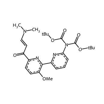 COc1ccc(C(=O)C=CN(C)C)nc1-c1cccc(N(C(=O)OC(C)(C)C)C(=O)OC(C)(C)C)n1